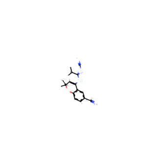 CC(C)/C(=N\C#N)NC1=CC(C)(C)Oc2ccc(C#N)cc21